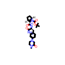 CN1CCN(c2ccc(C[C@H](NC(=O)[C@@H]3[C@H]4CC[C@H](C4)N3C(=O)OC(C)(C)C)C(N)=O)cc2)CC1=O